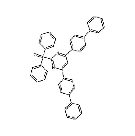 O=P(c1ccccc1)(c1ccccc1)c1nc(-c2ccc(-c3ccccc3)cc2)cc(-c2ccc(-c3ccccc3)cc2)n1